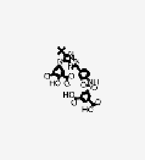 COC(=O)c1cc(N=C2C(C(C)(C)C)=Nn3nc(-c4ccc(NS(=O)(=O)c5cc(C(=O)O)cc(C(=O)O)c5)cc4)nc32)cc(Cl)c1O